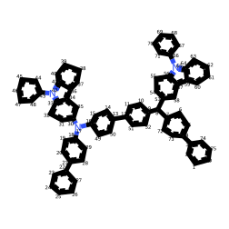 c1ccc(-c2ccc(C(c3ccc(-c4ccc(N(c5ccc(-c6ccccc6)cc5)c5ccc6c(c5)c5ccccc5n6-c5ccccc5)cc4)cc3)c3ccc4c(c3)c3ccccc3n4-c3ccccc3)cc2)cc1